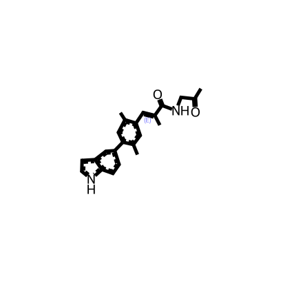 CC(=O)CNC(=O)/C(C)=C/c1cc(C)c(-c2ccc3[nH]ccc3c2)cc1C